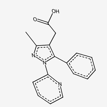 Cc1nn(-c2ccccn2)c(-c2ccccc2)c1CC(=O)O